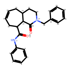 O=C(Nc1ccccc1)C1CC=CCC2CCN(Cc3ccccc3)C(=O)C21